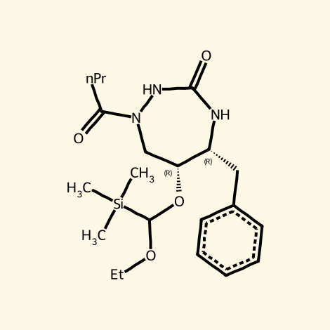 CCCC(=O)N1C[C@@H](OC(OCC)[Si](C)(C)C)[C@@H](Cc2ccccc2)NC(=O)N1